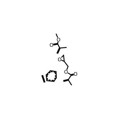 C=C.C=C(C)C(=O)OC.C=C(C)C(=O)OCC1CO1.c1ccccc1